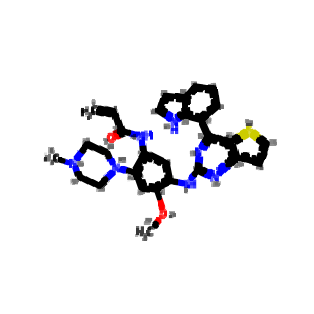 C=CC(=O)Nc1cc(Nc2nc(-c3cccc4cc[nH]c34)c3sccc3n2)c(OC)cc1N1CCN(C)CC1